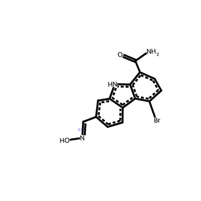 NC(=O)c1ccc(Br)c2c1[nH]c1cc(/C=N/O)ccc12